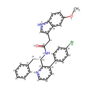 COc1ccc2[nH]cc(CC(=O)N[C@@H](Cc3ccccc3)c3ncccc3-c3ccc(Br)cc3)c2c1